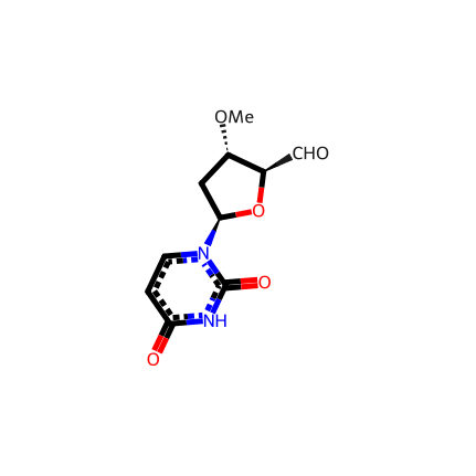 CO[C@H]1C[C@H](n2ccc(=O)[nH]c2=O)O[C@@H]1C=O